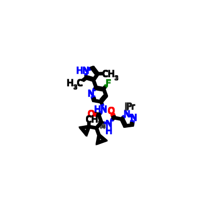 Cc1c[nH]c(C)c1-c1ncc(NC(=O)[C@@H](NC(=O)c2ccnn2C(C)C)C(C2CC2)C2(C)CC2)cc1F